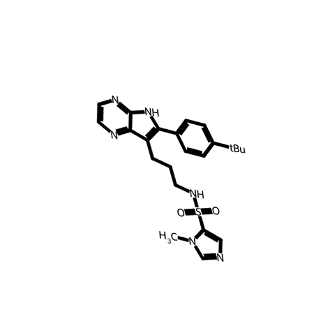 Cn1cncc1S(=O)(=O)NCCCc1c(-c2ccc(C(C)(C)C)cc2)[nH]c2nccnc12